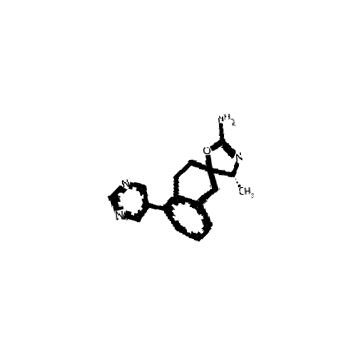 C[C@H]1N=C(N)OC12CCc1c(cccc1-c1cncnc1)C2